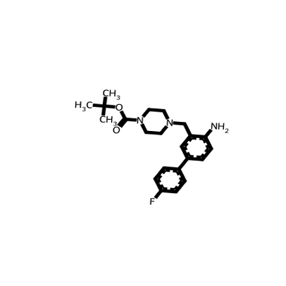 CC(C)(C)OC(=O)N1CCN(Cc2cc(-c3ccc(F)cc3)ccc2N)CC1